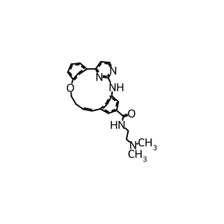 CN(C)CCNC(=O)c1cc2cc(c1)Nc1nccc(n1)-c1cccc(c1)OCC/C=C\2